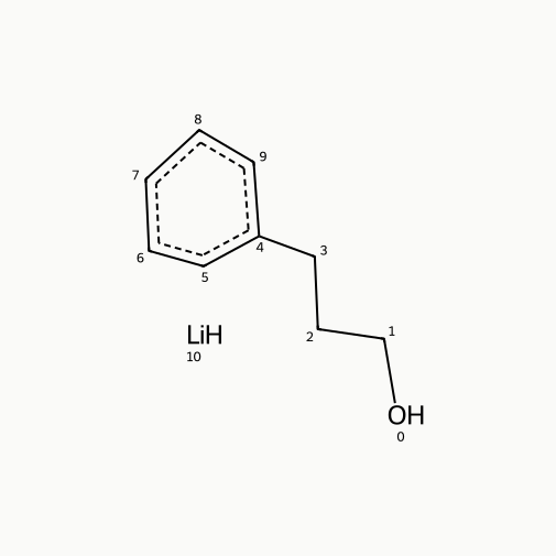 OCCCc1ccccc1.[LiH]